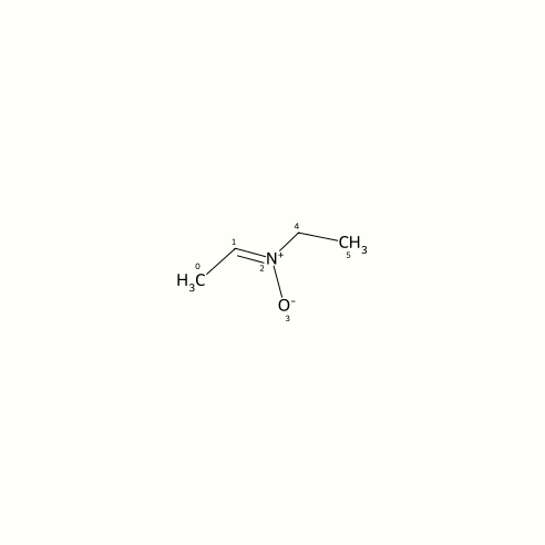 CC=[N+]([O-])CC